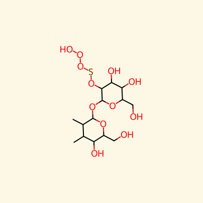 CC1C(OC2OC(CO)C(O)C(O)C2OSOOO)OC(CO)C(O)C1C